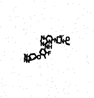 C=CC(=O)N1CCN(c2ccc3ncnc(Nc4ccc(Oc5ccc6c(c5)nnn6C)c(C)c4F)c3n2)C[C@@H]1C